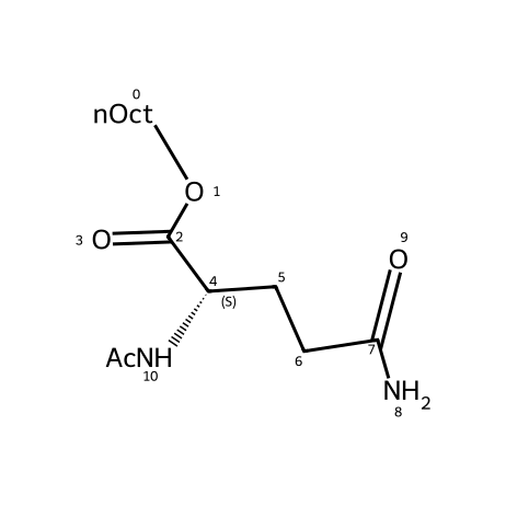 CCCCCCCCOC(=O)[C@H](CCC(N)=O)NC(C)=O